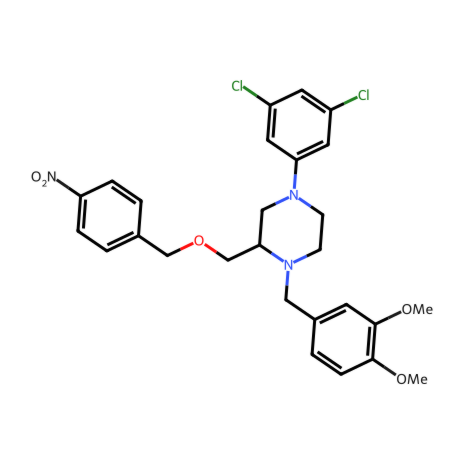 COc1ccc(CN2CCN(c3cc(Cl)cc(Cl)c3)CC2COCc2ccc([N+](=O)[O-])cc2)cc1OC